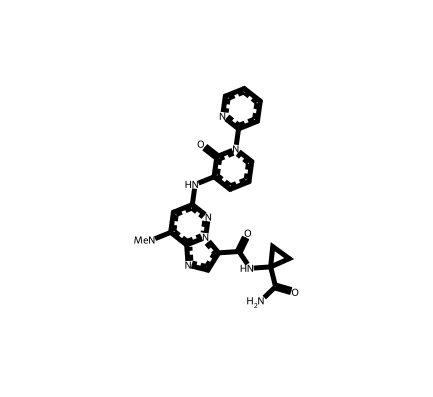 CNc1cc(Nc2cccn(-c3ccccn3)c2=O)nn2c(C(=O)NC3(C(N)=O)CC3)cnc12